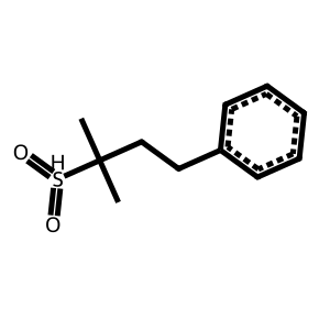 CC(C)(CCc1ccccc1)[SH](=O)=O